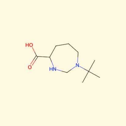 CC(C)(C)N1CCCC(C(=O)O)NC1